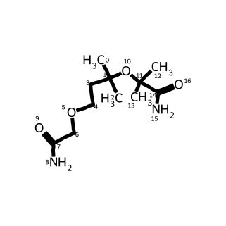 CC(C)(CCOCC(N)=O)OC(C)(C)C(N)=O